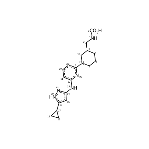 O=C(O)NC[C@H]1CCCN(c2nccc(Nc3cc(C4CC4)[nH]n3)n2)C1